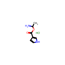 CC(N)OC(=O)c1cc[nH]c1.Cl